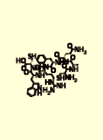 C[C@@H](NC(=O)[C@@H](N)CS)C(=O)N[C@@H](CCC(N)=O)C(=O)N[C@H](Cc1ccccc1)C(=O)N[C@@H](CCCNC(=N)N)C(=O)N[C@@H](Cc1c[nH]c2ccccc12)C(=O)N[C@@H](CS)C(=O)O